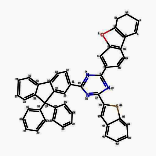 C1=Cc2c(oc3cc(-c4nc(-c5ccc6c(c5)C(c5ccccc5)(c5ccccc5)c5ccccc5-6)nc(-c5cc6ccccc6s5)n4)ccc23)CC1